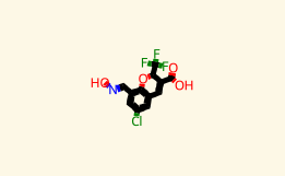 O=C(O)C1=Cc2cc(Cl)cc(C=NO)c2OC1C(F)(F)F